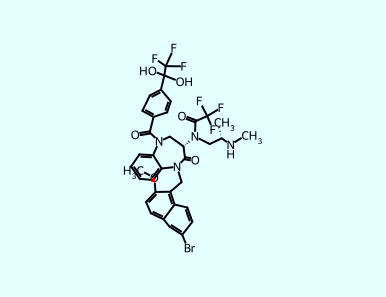 CN[C@@H](C)CN(C(=O)C(F)(F)F)[C@H]1CN(C(=O)c2ccc(C(O)(O)C(F)(F)F)cc2)c2ccccc2N(Cc2c(OC)ccc3cc(Br)ccc23)C1=O